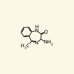 CC1=NC(N)C(=O)Nc2ccccc21